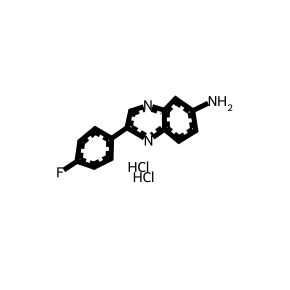 Cl.Cl.Nc1ccc2nc(-c3ccc(F)cc3)cnc2c1